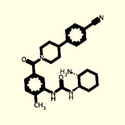 Cc1ccc(C(=O)N2CCC(c3ccc(C#N)cc3)CC2)cc1NC(=O)N[C@@H]1CCCC[C@H]1N